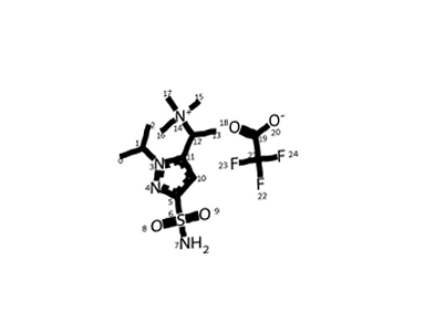 CC(C)n1nc(S(N)(=O)=O)cc1C(C)[N+](C)(C)C.O=C([O-])C(F)(F)F